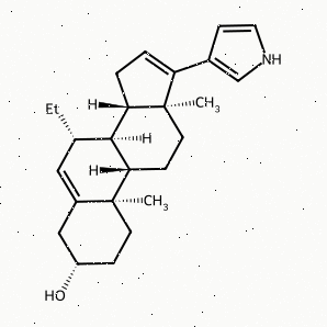 CC[C@H]1C=C2C[C@@H](O)CC[C@]2(C)[C@H]2CC[C@]3(C)C(c4cc[nH]c4)=CC[C@H]3[C@H]12